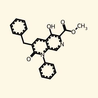 COC(=O)c1ncc2c(cc(Cc3ccccc3)c(=O)n2-c2ccccc2)c1O